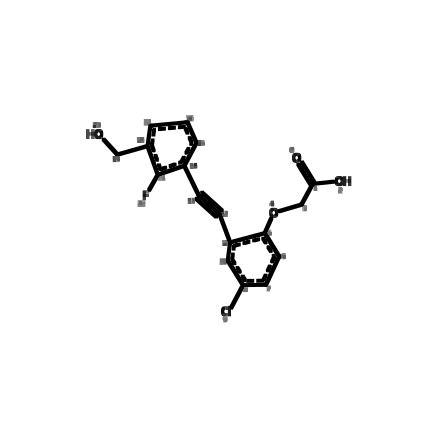 O=C(O)COc1ccc(Cl)cc1C#Cc1cccc(CO)c1F